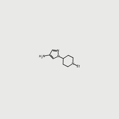 CCN1CCC(n2cc(N)cn2)CC1